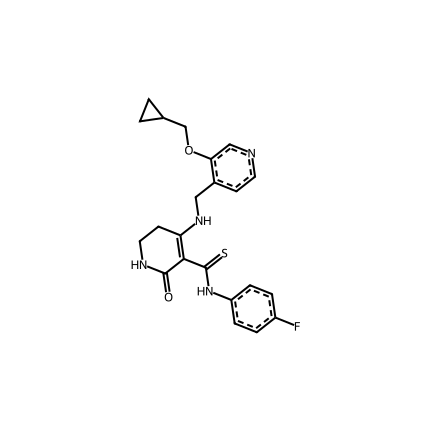 O=C1NCCC(NCc2ccncc2OCC2CC2)=C1C(=S)Nc1ccc(F)cc1